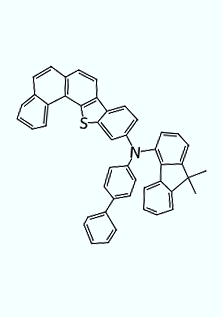 CC1(C)c2ccccc2-c2c(N(c3ccc(-c4ccccc4)cc3)c3ccc4c(c3)sc3c4ccc4ccc5ccccc5c43)cccc21